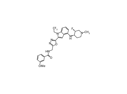 COc1cccc(C(=O)NCc2nnc(-c3cc4c(N[C@@H]5CCN(C)C[C@@H]5F)cccc4n3CC(F)(F)F)o2)c1